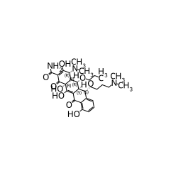 CCC(=O)O[C@@H]1[C@@H]2C(=C(O)[C@@]3(O)C(=O)C(C(N)=O)=C(O)[C@H](N(C)C)[C@@H]13)C(=O)c1c(O)cccc1[C@H]2CCCCN(C)C